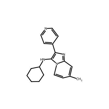 Cc1ccn2c(NC3CCCCC3)c(-c3ccncc3)nc2c1